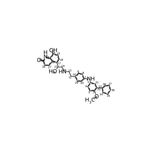 COc1ccc(Nc2ccc(CCNCC(O)c3ccc(O)c4[nH]c(=O)ccc34)cc2)cc1-c1ccccc1